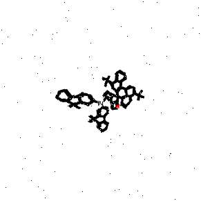 CC(C)(C)c1cc2c(c3ccccc13)-c1ccc(C(C)(C)C)c3cccc(c13)C21c2ccccc2-c2c(N(c3ccc4c(c3)C(C)(C)c3ccccc3-4)c3ccc4c(c3)C(C)(C)c3ccccc3-4)cccc21